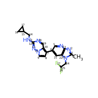 Cc1nc2ncc(-c3ccn4nc(NCC5CC5)ncc34)cc2n1CC(F)F